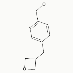 OCc1ccc(CC2COC2)cn1